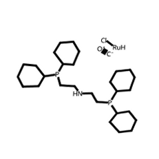 C1CCC(P(CCNCCP(C2CCCCC2)C2CCCCC2)C2CCCCC2)CC1.[C-]#[O+].[Cl][RuH]